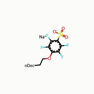 CCCCCCCCCCCCOc1c(F)c(F)c(S(=O)(=O)[O-])c(F)c1F.[Na+]